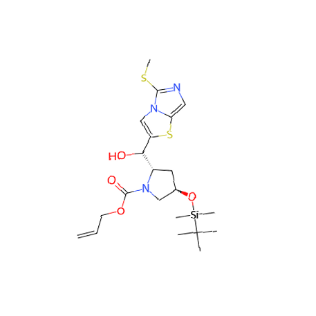 C=CCOC(=O)N1C[C@H](O[Si](C)(C)C(C)(C)C)C[C@H]1C(O)c1cn2c(SC)ncc2s1